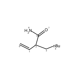 C=C[C](CCCCC)C(N)=O